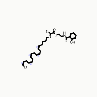 CC/C=C\C/C=C\C/C=C\C/C=C\C/C=C\CCCCOC(CC)C(=O)OCCNC(=O)c1ccccc1O